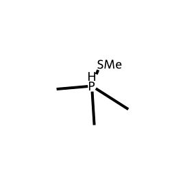 CS[PH](C)(C)C